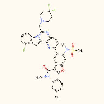 CNC(=O)c1c(-c2ccc(C)cc2)oc2cc(N(C)S(C)(=O)=O)c(-c3ccc4nc(CN5CCC(F)(F)CC5)n5c6cccc(F)c6cc5c4n3)cc12